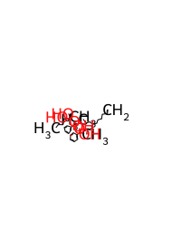 C=CCCCCC(CCC)CCC.CCCC(O)CC(C)O.O=C(O)c1ccccc1.O=C(O)c1ccccc1